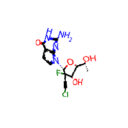 C[C@@H](O)[C@H]1O[C@@H](n2ccc3c(=O)[nH]c(N)nc32)C(F)(C#CCl)[C@H]1O